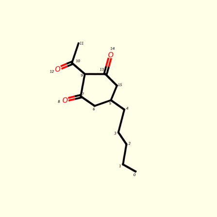 CCCCCC1CC(=O)C(C(C)=O)C(=O)C1